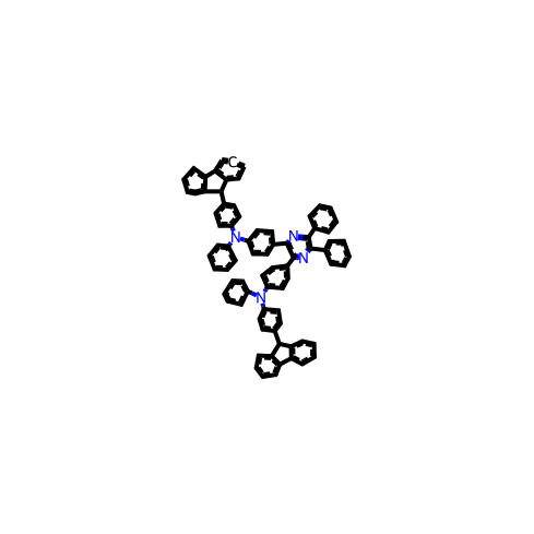 c1ccc(-c2nc(-c3ccc(N(c4ccccc4)c4ccc(C5c6ccccc6-c6ccccc65)cc4)cc3)c(-c3ccc(N(c4ccccc4)c4ccc(C5c6ccccc6-c6ccccc65)cc4)cc3)nc2-c2ccccc2)cc1